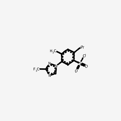 Cc1cc(C(C)C)c(S(=O)(=O)Cl)cc1-n1cnc(C(F)(F)F)n1